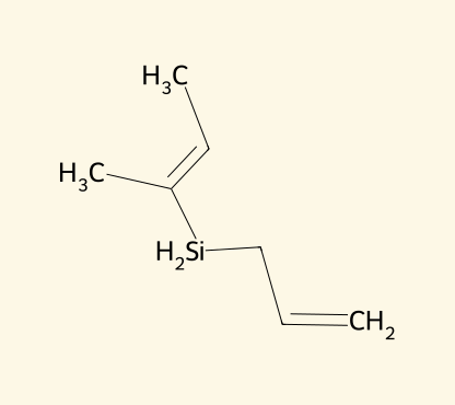 C=CC[SiH2]C(C)=CC